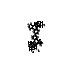 Cc1nc2c3ccccc3c3cc(-c4ccc5c(c4)c4sccc4c4nc(C(C)C)[nH]c54)ccc3c2[nH]1